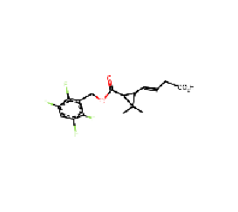 CC1(C)C(/C=C/CC(=O)O)C1C(=O)OCc1c(F)c(F)cc(F)c1F